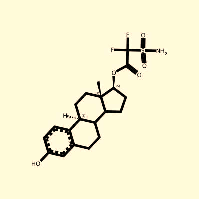 C[C@]12CC[C@@H]3c4ccc(O)cc4CCC3C1CC[C@@H]2OC(=O)C(F)(F)S(N)(=O)=O